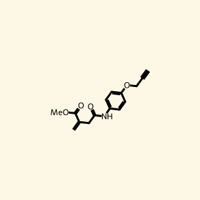 C#CCOc1ccc(NC(=O)CC(=C)C(=O)OC)cc1